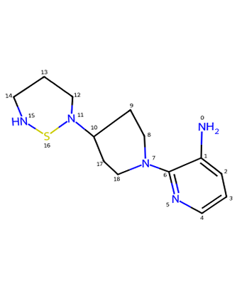 Nc1cccnc1N1CCC(N2CCCNS2)CC1